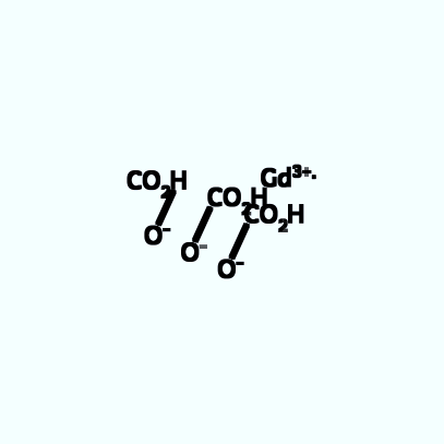 O=C([O-])O.O=C([O-])O.O=C([O-])O.[Gd+3]